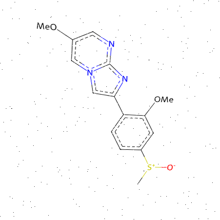 COc1cnc2nc(-c3ccc([S+](C)[O-])cc3OC)cn2c1